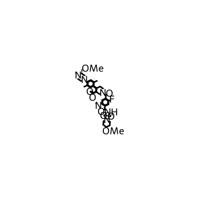 COC[C@H]1CN(c2cc(C)c3c4c(c(=O)oc3c2C)CN(C(=O)c2cc(N(C)C)c(C(=O)NS(=O)(=O)N3CCC(OC)CC3)cc2F)CC4)CCN1C